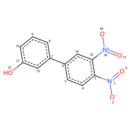 O=[N+]([O-])c1ccc(-c2cccc(O)c2)cc1[N+](=O)[O-]